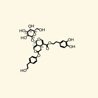 C/C=C1/[C@H](O[C@@H]2O[C@H](CO)[C@@H](O)[C@H](O)[C@H]2O)OC=C(C(=O)OCCc2ccc(O)c(O)c2)[C@H]1CC(=O)Oc1ccc(CCO)cc1